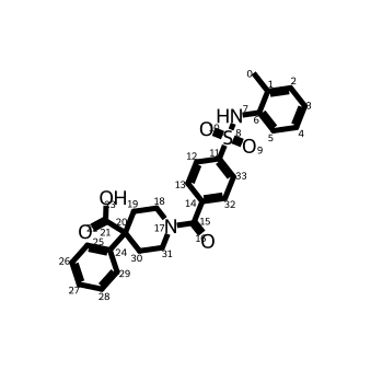 Cc1ccccc1NS(=O)(=O)c1ccc(C(=O)N2CCC(C(=O)O)(c3ccccc3)CC2)cc1